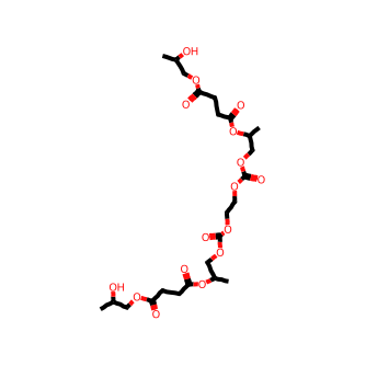 CC(O)COC(=O)CCC(=O)OC(C)COC(=O)OCCOC(=O)OCC(C)OC(=O)CCC(=O)OCC(C)O